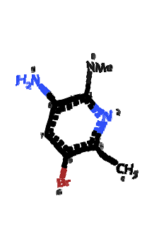 CNc1nc(C)c(Br)cc1N